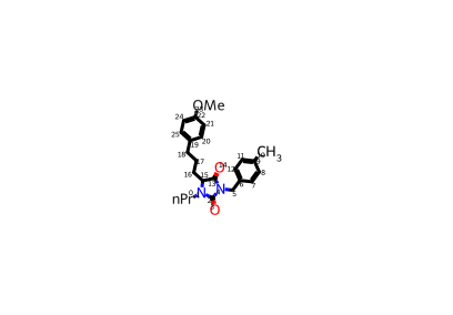 CCCN1C(=O)N(Cc2ccc(C)cc2)C(=O)C1CCCc1ccc(OC)cc1